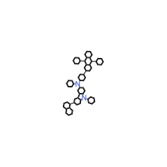 c1ccc(-c2c3ccccc3c(-c3ccccc3)c3cc(-c4ccc(N(c5ccccc5)c5ccc6c(c5)c5cc(-c7cccc8ccccc78)ccc5n6-c5ccccc5)cc4)ccc23)cc1